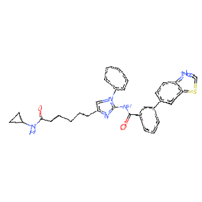 O=C(CCCCCc1cn(-c2ccccc2)c(NC(=O)c2cccc(-c3ccc4ncsc4c3)c2)n1)NC1CC1